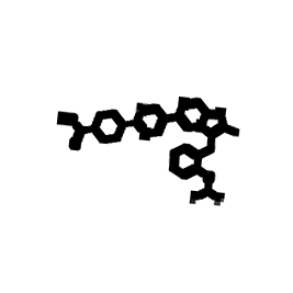 Cc1nc2cnc(-c3cnc([C@H]4CC[C@H](C(=O)O)CC4)nc3)cn2c1Cc1ccccc1OC(F)F